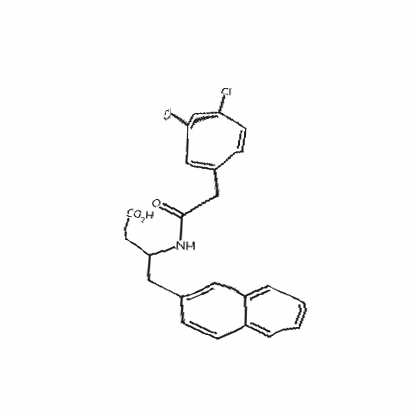 O=C(O)CC(Cc1ccc2ccccc2c1)NC(=O)Cc1ccc(Cl)c(Cl)c1